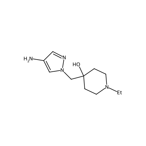 CCN1CCC(O)(Cn2cc(N)cn2)CC1